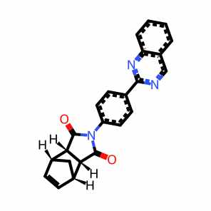 O=C1[C@@H]2[C@H](C(=O)N1c1ccc(-c3ncc4ccccc4n3)cc1)[C@@H]1C=C[C@H]2C1